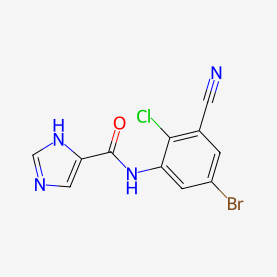 N#Cc1cc(Br)cc(NC(=O)c2cnc[nH]2)c1Cl